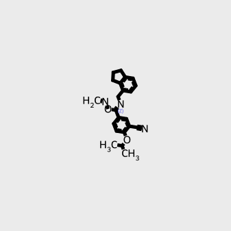 C=NO/C(=N\Cc1cccc2c1CCC2)c1ccc(OC(C)C)c(C#N)c1